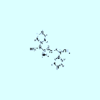 CN(CSSC(N)N(C)c1ccncc1)c1ccncc1